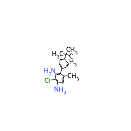 Cc1cc(N)c(Cl)c(N)c1-c1ccc(C(C)(C)C)cc1